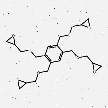 c1c(COCC2CO2)c(COCC2CO2)cc(COCC2CO2)c1COCC1CO1